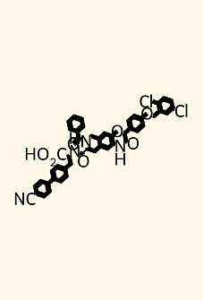 N#Cc1ccc(-c2ccc(C[C@H](NC(=O)[C@@H]3Cc4cc5c(cc4CN3C(=O)c3ccccc3)OC(c3ccc(OCc4cc(Cl)ccc4Cl)cc3)C(=O)N5)C(=O)O)cc2)cc1